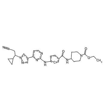 CCOC(=O)N1CCC(NC(=O)c2ccc(Nc3nccc(-c4cnn(C(CC#N)C5CC5)c4)n3)cc2)CC1